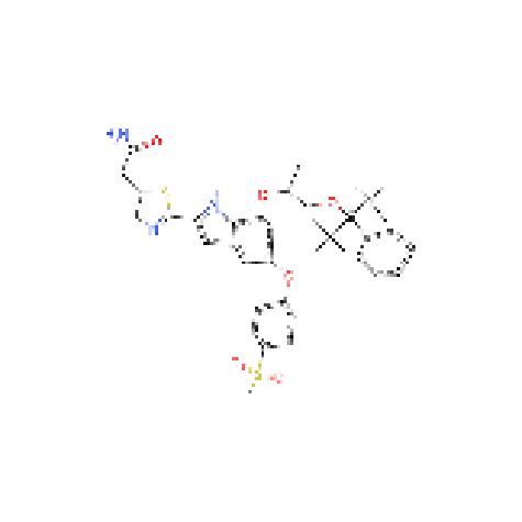 CC(CO[Si](c1ccccc1)(C(C)(C)C)C(C)(C)C)Oc1cc(Oc2ccc(S(C)(=O)=O)cc2)cc2cc(C3=NCC(CC(N)=O)S3)[nH]c12